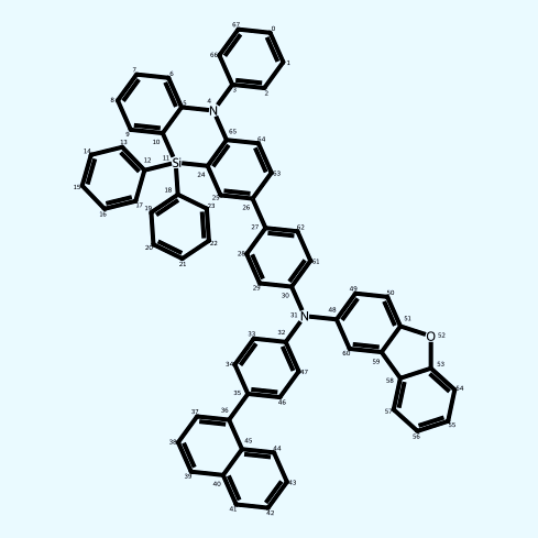 c1ccc(N2c3ccccc3[Si](c3ccccc3)(c3ccccc3)c3cc(-c4ccc(N(c5ccc(-c6cccc7ccccc67)cc5)c5ccc6oc7ccccc7c6c5)cc4)ccc32)cc1